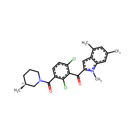 Cc1cc(C(F)(F)F)cc2c1cc(C(=O)c1c(Cl)ccc(C(=O)N3CCC[C@H](C)C3)c1Cl)n2C